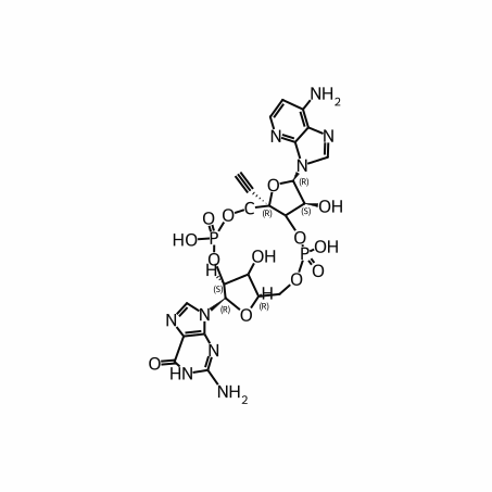 C#C[C@@]12COP(=O)(O)O[C@H]3C(O)[C@@H](COP(=O)(O)OC1[C@H](O)[C@H](n1cnc4c(N)ccnc41)O2)O[C@H]3n1cnc2c(=O)[nH]c(N)nc21